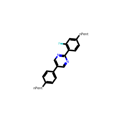 CCCCCc1ccc(-c2cnc(-c3ccc(CCCCC)cc3F)nc2)cc1